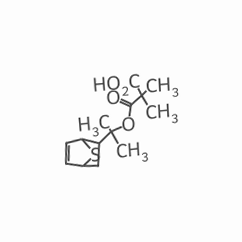 CC(C)(C(=O)O)C(=O)OC(C)(C)C1CC2C=CC1S2